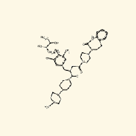 CN1CCN(C2CCN(C(=O)[C@H](CC(=O)N3CCC(N4CCc5ccccc5NC4=O)CC3)Cc3cc(Cl)c(N)c(C(F)(F)F)c3)CC2)CC1.O=C(O)[C@@H](O)[C@H](O)C(=O)O